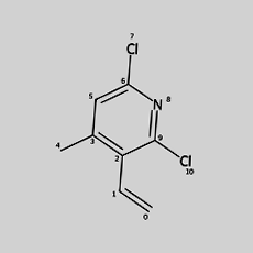 C=Cc1c(C)cc(Cl)nc1Cl